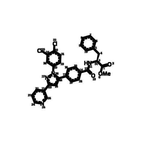 COC(=O)[C@H](Cc1ccccc1)NC(=O)c1ccc(-c2cc(-c3cccnc3)nn2-c2ccc(Cl)c(Cl)c2)cc1